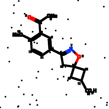 COC(=O)c1cc(C2=NOC3(C2)CC(C(=O)O)C3)ccc1OC